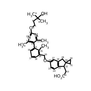 Cc1nc(OCCC(C)(C)O)nc(C)c1-c1cccc(COc2ccc3c(c2)CC2(CC2)C3CC(=O)O)c1C